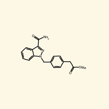 COC(=O)Cc1ccc(Cn2nc(C(N)=O)c3ccccc32)cc1